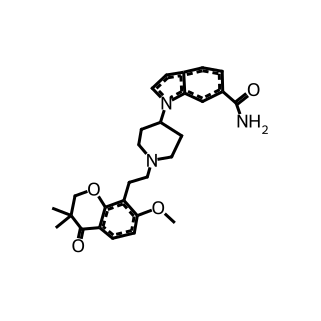 COc1ccc2c(c1CCN1CCC(n3ccc4ccc(C(N)=O)cc43)CC1)OCC(C)(C)C2=O